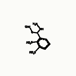 NNC(OC=O)c1cccc(S(=O)(=O)O)c1S(=O)(=O)O